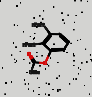 CCCCCc1cccc(OC(=O)OC)c1CCCCC